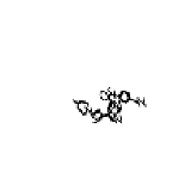 CC1CCN(c2cc(-c3cnc4cnc(C(=O)N(C)c5ccc(C#N)cc5)cn34)cs2)CC1